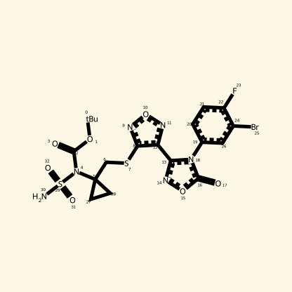 CC(C)(C)OC(=O)N(C1(CSc2nonc2-c2noc(=O)n2-c2ccc(F)c(Br)c2)CC1)S(N)(=O)=O